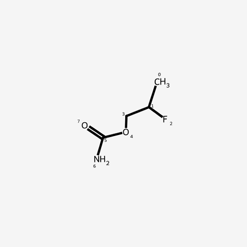 CC(F)COC(N)=O